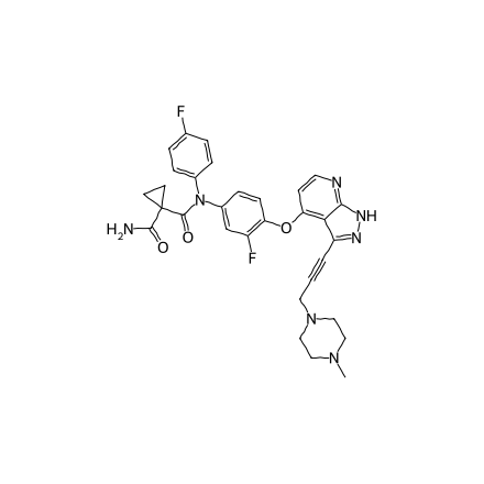 CN1CCN(CC#Cc2n[nH]c3nccc(Oc4ccc(N(C(=O)C5(C(N)=O)CC5)c5ccc(F)cc5)cc4F)c23)CC1